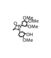 C=C1C(=O)N(c2cc(OC)c(OC)c(OC)c2)[C@H]1c1ccc(OC)c(O)c1